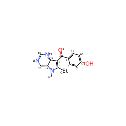 CCc1c(C(=O)c2ccc(O)cc2)c2ncncc2n1C